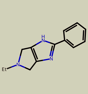 CCN1Cc2nc(-c3ccccc3)[nH]c2C1